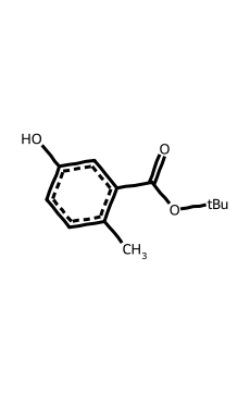 Cc1ccc(O)cc1C(=O)OC(C)(C)C